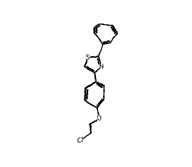 ClCCOc1ccc(-c2csc(-c3ccccc3)n2)cc1